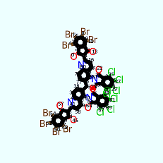 O=C1c2c(Br)c(Br)c(Br)c(Br)c2C(=O)C1c1ccc2c(N3C(=O)c4c(Cl)c(Cl)c(Cl)c(Cl)c4C3=O)c(Cc3ccc4nc(C5C(=O)c6c(Br)c(Br)c(Br)c(Br)c6C5=O)ccc4c3N3C(=O)c4c(Cl)c(Cl)c(Cl)c(Cl)c4C3=O)ccc2n1